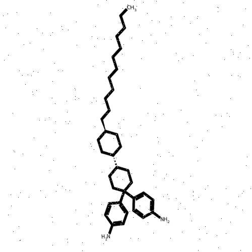 CCCCCCCCCCCC[C@H]1CC[C@H](C2CCC(c3ccc(N)cc3)(c3ccc(N)cc3)CC2)CC1